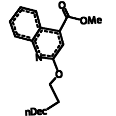 CCCCCCCCCCCCOc1cc(C(=O)OC)c2ccccc2n1